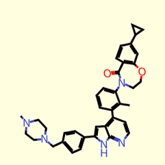 Cc1c(-c2ccnc3[nH]c(-c4ccc(CN5CCN(C)CC5)cc4)cc23)cccc1N1CCOc2cc(C3CC3)ccc2C1=O